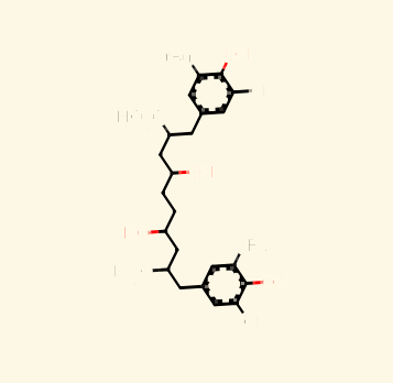 Cc1cc(CC(CC(O)CCC(O)CC(Cc2cc(C)c(O)c(C(C)(C)C)c2)C(=O)O)C(=O)O)cc(C(C)(C)C)c1O